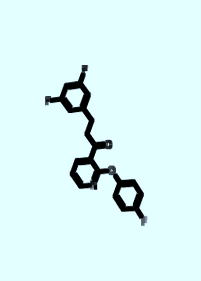 O=C(CCc1cc(F)cc(F)c1)c1cccnc1Oc1ccc(F)cc1